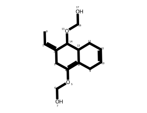 CC=C1CC(OCO)=C2CC=CCC2C1OCO